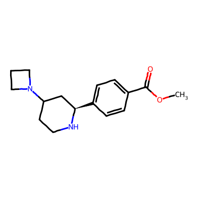 COC(=O)c1ccc([C@@H]2CC(N3CCC3)CCN2)cc1